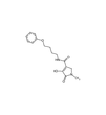 CN1CC(C(=O)NCCCCOc2ccccc2)=C(O)C1=O